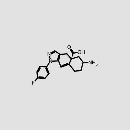 N[C@H]1CCC2=Cc3c(cnn3-c3ccc(F)cc3)C[C@]2(C(=O)O)C1